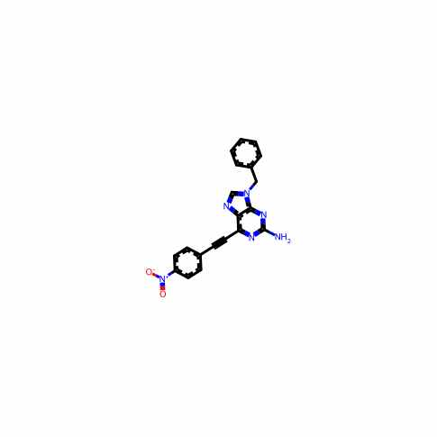 Nc1nc(C#Cc2ccc([N+](=O)[O-])cc2)c2ncn(Cc3ccccc3)c2n1